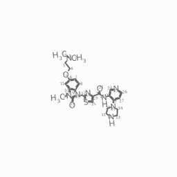 CN(C)CCOc1ccc2c(c1)n(C)c(=O)n2-c1nc(C(=O)Nc2cnccc2N2CCNCC2)cs1